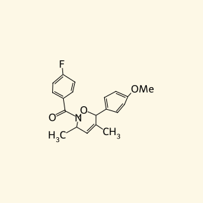 COc1ccc(C2ON(C(=O)c3ccc(F)cc3)C(C)C=C2C)cc1